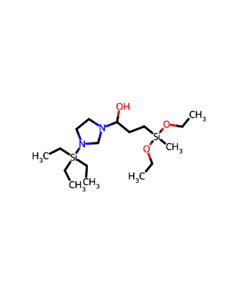 CCO[Si](C)(CCC(O)N1CCN([Si](CC)(CC)CC)C1)OCC